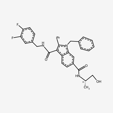 CC(C)c1c(C(=O)NCc2ccc(F)c(F)c2)c2ccc(C(=O)N[C@@H](C)CO)cc2n1Cc1ccccc1